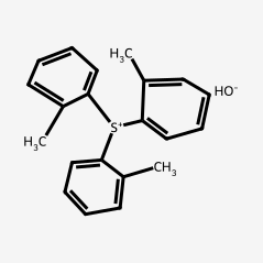 Cc1ccccc1[S+](c1ccccc1C)c1ccccc1C.[OH-]